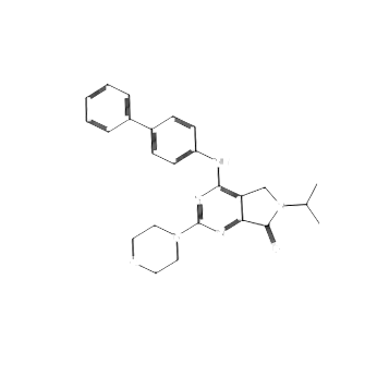 CC(C)N1Cc2c(Nc3ccc(-c4ccccc4)cc3)nc(N3CCOCC3)nc2C1=O